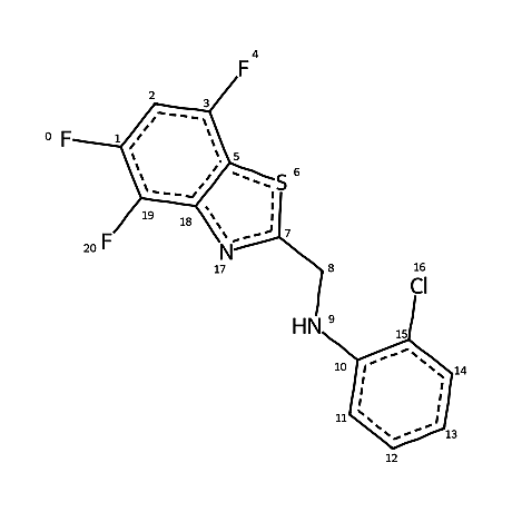 Fc1cc(F)c2sc(CNc3ccccc3Cl)nc2c1F